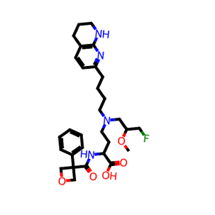 COC(CF)CN(CCCCc1ccc2c(n1)NCCC2)CCC(NC(=O)C1(c2ccccc2)COC1)C(=O)O